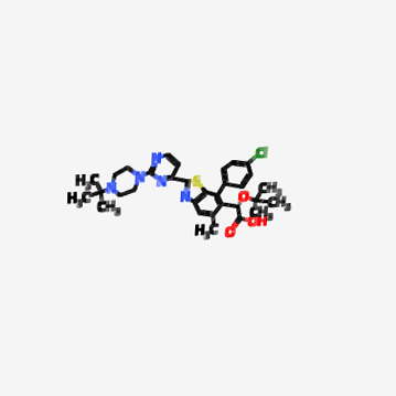 Cc1cc2nc(-c3ccnc(N4CCN(C(C)(C)C)CC4)n3)sc2c(-c2ccc(Cl)cc2)c1[C@H](OC(C)(C)C)C(=O)O